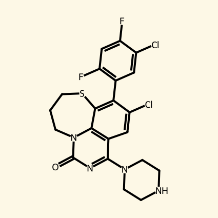 O=c1nc(N2CCNCC2)c2cc(Cl)c(-c3cc(Cl)c(F)cc3F)c3c2n1CCCS3